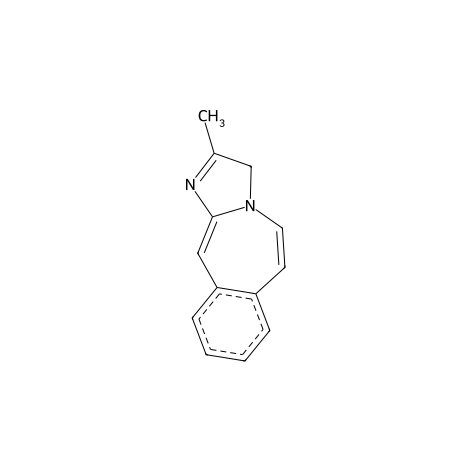 CC1=NC2=Cc3ccccc3C=CN2C1